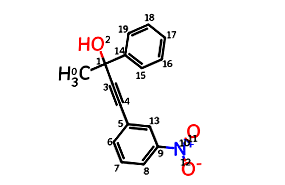 CC(O)(C#Cc1cccc([N+](=O)[O-])c1)c1ccccc1